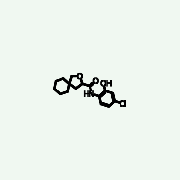 O=C(Nc1ccc(Cl)cc1O)C1CC2(CCCCC2)CO1